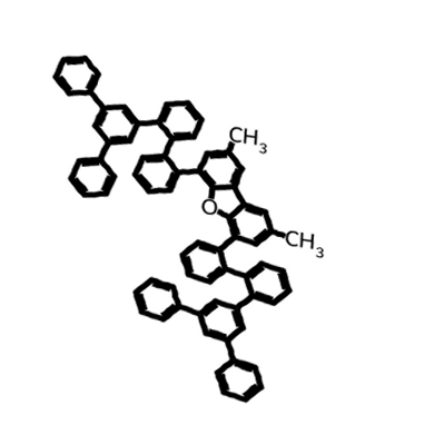 Cc1cc(-c2ccccc2-c2ccccc2-c2cc(-c3ccccc3)cc(-c3ccccc3)c2)c2oc3c(-c4ccccc4-c4ccccc4-c4cc(-c5ccccc5)cc(-c5ccccc5)c4)cc(C)cc3c2c1